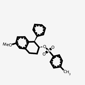 COc1ccc2c(c1)CC[C@@H](OS(=O)(=O)c1ccc(C)cc1)[C@@H]2c1ccccc1